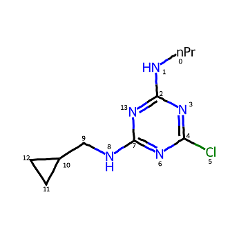 CCCNc1nc(Cl)nc(NCC2CC2)n1